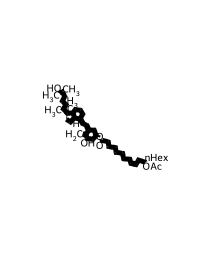 C=C1/C(=C\C=C2/CCC[C@]3(C)[C@@H]([C@H](C)CCCC(C)(C)O)CC[C@@H]23)C[C@@H](OC(=O)CCCCCCC/C=C\C[C@@H](CCCCCC)OC(C)=O)C[C@@H]1O